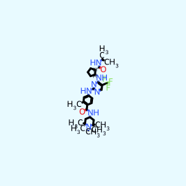 Cc1cc(Nc2ncc(C(F)(F)F)c(N[C@@H]3CCC[C@@H]3C(=O)NC(C)C)n2)ccc1C(=O)NC1CC(C)(C)N(C)C(C)(C)C1